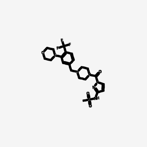 CS(=O)(=O)Nc1ccn(C(=O)N2CCN(Cc3ccc(C(F)(F)F)c(N4CCOCC4)c3)CC2)n1